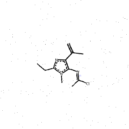 C=C(C)c1nc(CC)n(C)c1/N=C(\C)Cl